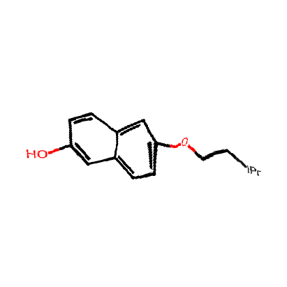 CC(C)CCOc1ccc2cc(O)ccc2c1